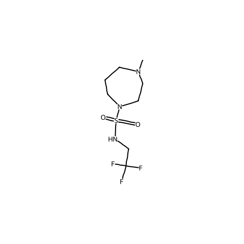 CN1CCCN(S(=O)(=O)NCC(F)(F)F)CC1